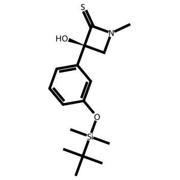 CN1C[C@](O)(c2cccc(O[Si](C)(C)C(C)(C)C)c2)C1=S